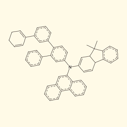 CC1(C)c2ccccc2C2C=CC(N(c3ccc(-c4cccc(C5=CCCC=C5)c4)c(-c4ccccc4)c3)c3cc4ccccc4c4ccccc34)=CC21